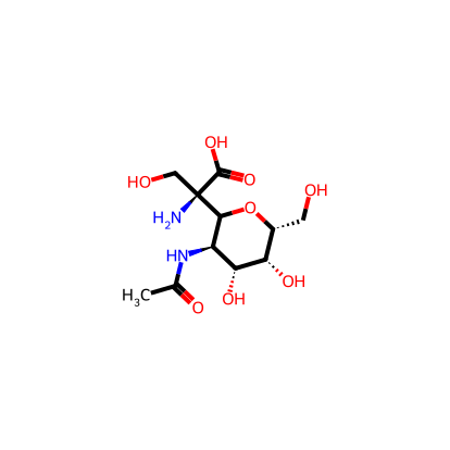 CC(=O)N[C@H]1C([C@](N)(CO)C(=O)O)O[C@H](CO)[C@H](O)[C@@H]1O